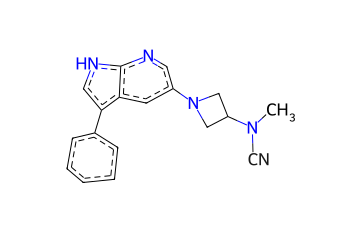 CN(C#N)C1CN(c2cnc3[nH]cc(-c4ccccc4)c3c2)C1